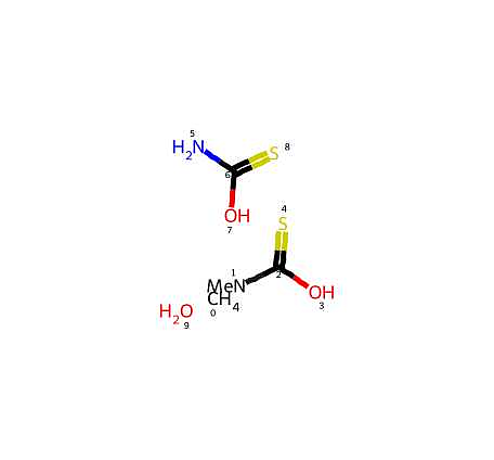 C.CNC(O)=S.NC(O)=S.O